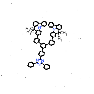 CC1(C)c2cc(-c3cccc(-c4cc(-c5ccc(-c6nc(-c7ccccc7)nc(-c7ccccc7)n6)cc5)cc(-c5cccc(-c6ccc7c(c6)C(C)(C)c6cccc8c9ccccc9n-7c68)c5)c4)c3)ccc2-n2c3ccccc3c3cccc1c32